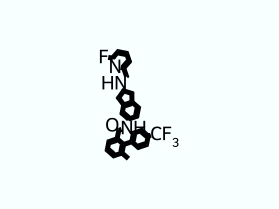 Cc1cccc(C(=O)Nc2ccc3c(c2)C[C@H](NCc2cccc(F)n2)C3)c1-c1ccc(C(F)(F)F)cc1